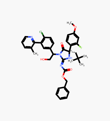 COc1ccc([C@@]2(CC(C)(C)C)NC(=NC(=O)OCc3ccccc3)N(C(CO)c3ccc(Cl)c(-c4ncccc4C)c3)C2=O)c(F)c1